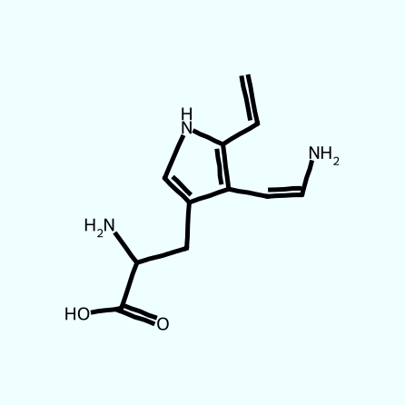 C=Cc1[nH]cc(CC(N)C(=O)O)c1/C=C\N